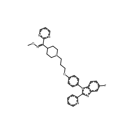 CON=C(c1ncccn1)C1CCN(CCCOc2ccc(-n3c(-c4ccccn4)nc4cc(F)ccc43)cc2)CC1